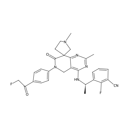 Cc1nc(N[C@H](C)c2cccc(C#N)c2F)c2c(n1)C1(CCN(C)C1)C(=O)N(c1ccc(C(=O)CF)cc1)C2